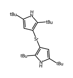 CC(C)(C)c1c[c]([Sr][c]2cc(C(C)(C)C)[nH]c2C(C)(C)C)c(C(C)(C)C)[nH]1